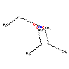 CCCCCCCC/C=C\CCCCCCCCOCC(CNOC(C)(C)CCCCCCC/C=C\CCCCCCCC)OCCCCCCCC/C=C\CCCCCCCC